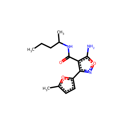 CCCC(C)NC(=O)c1c(-c2ccc(C)o2)noc1N